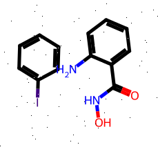 Ic1ccccc1.Nc1ccccc1C(=O)NO